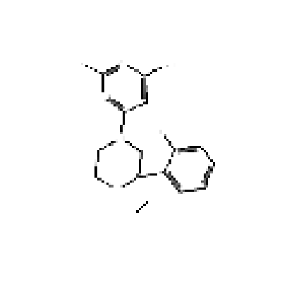 Nc1cc(N2CCO[C@](CO)(c3ccccc3Br)C2)nc(N)n1